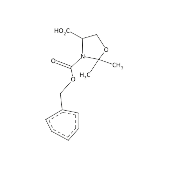 CC1(C)OCC(C(=O)O)N1C(=O)OCc1ccccc1